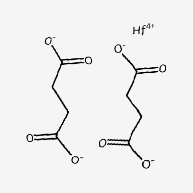 O=C([O-])CCC(=O)[O-].O=C([O-])CCC(=O)[O-].[Hf+4]